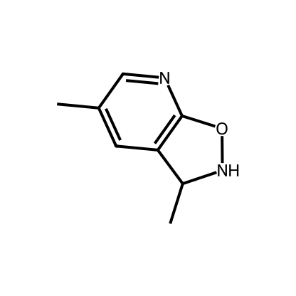 Cc1cnc2c(c1)C(C)NO2